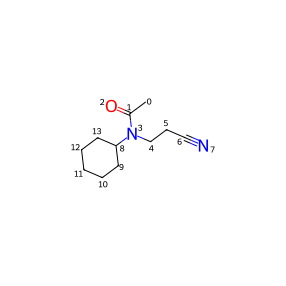 CC(=O)N(CCC#N)C1CCCCC1